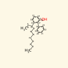 CCCCCCCCC(CC)c1cccc(O)c1-c1ccccc1